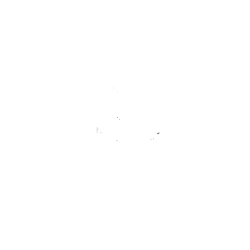 c1ccc(-c2nc(-c3cccc4c3sc3c5ccccc5ccc43)nc(-c3cccc4sc5ccc(-c6ccccc6-c6ccccc6)cc5c34)n2)cc1